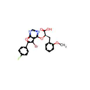 COc1ccccc1C[C@@H](Oc1ncnc2oc(-c3ccc(F)cc3)c(Br)c12)C(=O)O